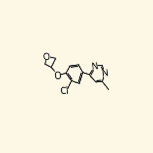 Cc1cc(-c2ccc(OC3COC3)c(Cl)c2)ncn1